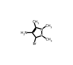 CC1=C(N)C(Br)N(C)N1C